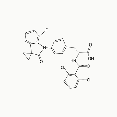 O=C(NC(Cc1ccc(N2C(=O)C3(CC3)c3cccc(F)c32)cc1)C(=O)O)c1c(Cl)cccc1Cl